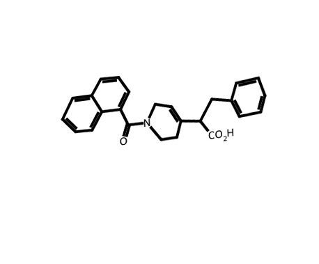 O=C(O)C(Cc1ccccc1)C1=CCN(C(=O)c2cccc3ccccc23)CC1